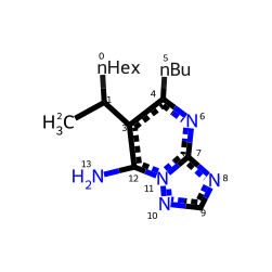 CCCCCCC(C)c1c(CCCC)nc2ncnn2c1N